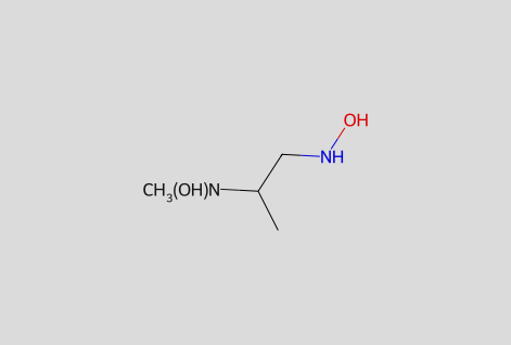 CC(CNO)N(C)O